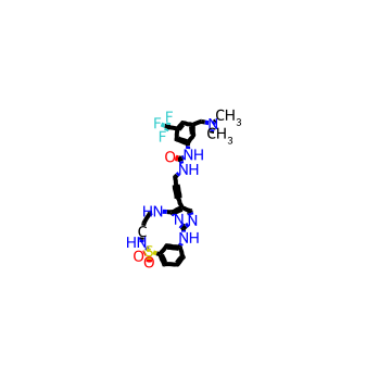 CN(C)Cc1cc(NC(=O)NCC#Cc2cnc3nc2NCCCNS(=O)(=O)c2cccc(c2)N3)cc(C(F)(F)F)c1